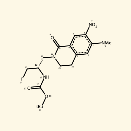 CNc1cc2c(cc1[N+](=O)[O-])C(=O)N(C[C@@H](CF)NC(=O)OC(C)(C)C)CC2